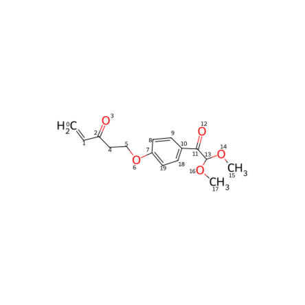 C=CC(=O)CCOc1ccc(C(=O)C(OC)OC)cc1